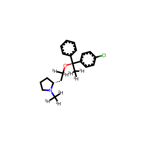 [2H]C([2H])(C[C@H]1CCCN1C([2H])([2H])[2H])O[C@@](c1ccccc1)(c1ccc(Cl)cc1)C([2H])([2H])[2H]